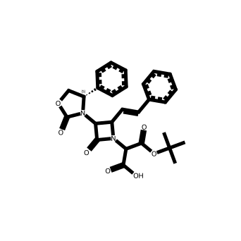 CC(C)(C)OC(=O)C(C(=O)O)N1C(=O)C(N2C(=O)OC[C@@H]2c2ccccc2)C1C=Cc1ccccc1